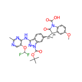 COc1ccc2c(c1)[C@]1(C[C@H]1c1ccc3c(Nc4nc(C)ncc4OC(F)F)nn(C(=O)OC(C)(C)C)c3c1)C(=O)N2C(=O)O